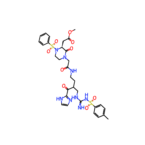 COC(=O)C[C@H]1C(=O)N(CC(=O)NCCC(CNC(=N)NS(=O)(=O)c2ccc(C)cc2)C(=O)c2ncc[nH]2)CCN1S(=O)(=O)c1ccccc1